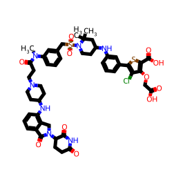 CN(C(=O)CCN1CCC(Nc2cccc3c2CN(C2CCC(=O)NC2=O)C3=O)CC1)c1cccc(CS(=O)(=O)N2CCC(Nc3cccc(-c4sc(C(=O)O)c(OCC(=O)O)c4Cl)c3)CC2(C)C)c1